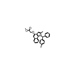 COC(=O)COc1cc2ccccc2c2c1cc(C)n2C(c1ccccc1)c1ccc(F)cc1